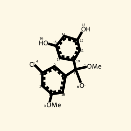 COc1cc(Cl)cc(C([O])(OC)c2cc(O)cc(O)c2)c1